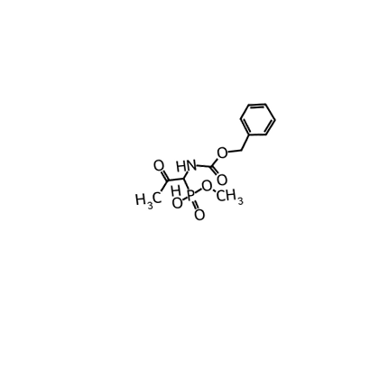 COP(=O)(O)C(NC(=O)OCc1ccccc1)C(C)=O